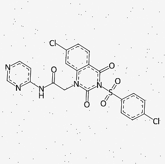 O=C(Cn1c(=O)n(S(=O)(=O)c2ccc(Cl)cc2)c(=O)c2ccc(Cl)cc21)Nc1ccncn1